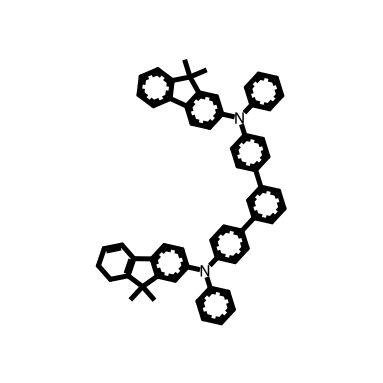 CC1(C)C2=C(C=CCC2)c2ccc(N(c3ccccc3)c3ccc(-c4cccc(-c5ccc(N(c6ccccc6)c6ccc7c(c6)C(C)(C)c6ccccc6-7)cc5)c4)cc3)cc21